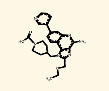 CCOCc1nc2c(N)nc3cc(-c4cccnc4)ccc3c2n1CC1CCN(C(=O)O)CC1